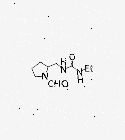 CCNC(=O)NCC1CCCN1[C]=O